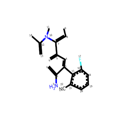 C=C(N)/C(=C\C(=C)/C(=C/C)N(C)C(=C)C)c1c(F)cccc1C#N